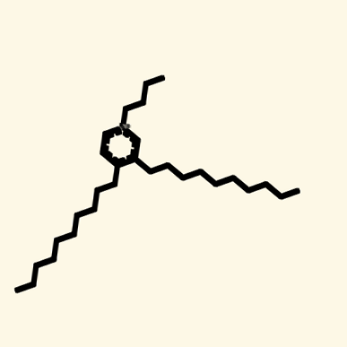 CCCCCCCCCCc1cc[n+](CCCC)cc1CCCCCCCCCC